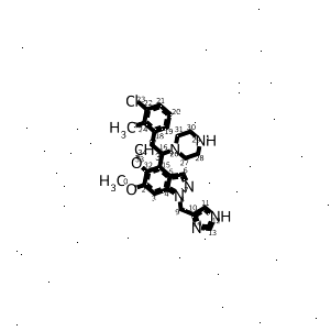 COc1cc2c(cnn2Cc2c[nH]cn2)c(C(Cc2cccc(Cl)c2C)N2CCNCC2)c1OC